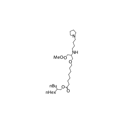 CCCCCCC(CCCC)COC(=O)CCCCCCCOCC(COOC)NCCCCN1CCCC1